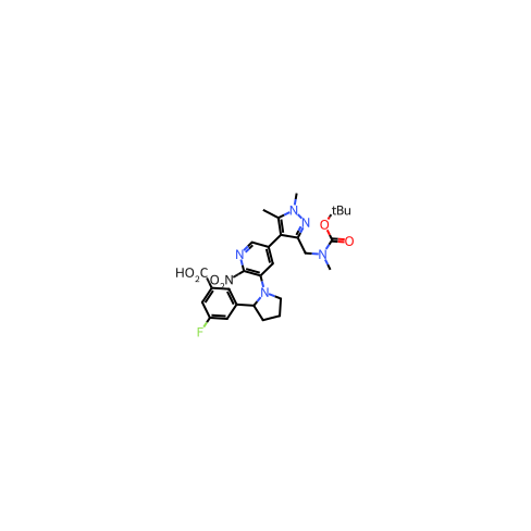 Cc1c(-c2cnc([N+](=O)[O-])c(N3CCCC3c3cc(F)cc(C(=O)O)c3)c2)c(CN(C)C(=O)OC(C)(C)C)nn1C